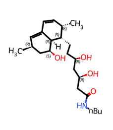 CCCCNC(=O)C[C@H](O)C[C@H](O)CC[C@@H]1[C@@H]2C(=C[C@H](C)C[C@@H]2O)C=C[C@@H]1C